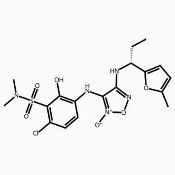 CC[C@@H](Nc1no[n+]([O-])c1Nc1ccc(Cl)c(S(=O)(=O)N(C)C)c1O)c1ccc(C)o1